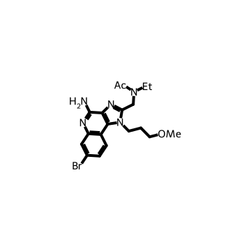 CCN(Cc1nc2c(N)nc3cc(Br)ccc3c2n1CCCOC)C(C)=O